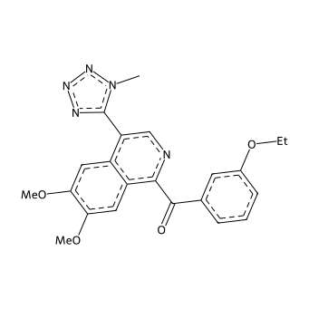 CCOc1cccc(C(=O)c2ncc(-c3nnnn3C)c3cc(OC)c(OC)cc23)c1